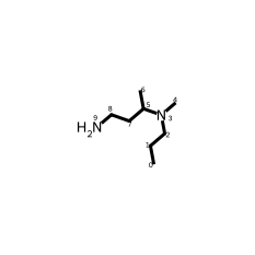 CCCN(C)C(C)CCN